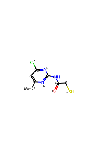 COc1cc(Cl)nc(NC(=O)CS)n1